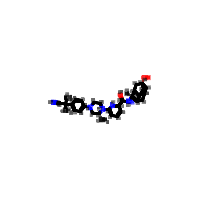 C[C@@H]1CN(c2ccc(C(C)(C)C#N)cc2)CCN1c1cccc(C(=O)N[C@H]2C3CC4CC2C[C@](O)(C4)C3)n1